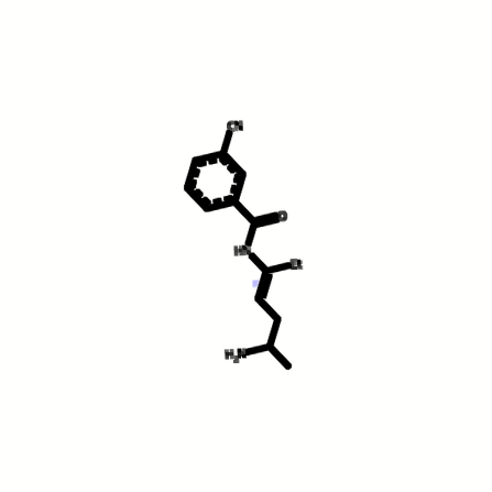 CC/C(=C\CC(C)N)NC(=O)c1cccc(C#N)c1